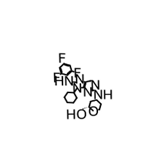 OC[C@@H]1C[C@H](Nc2ncc3nc(Nc4c(F)cc(F)cc4F)n(C4CCCCC4)c3n2)CCO1